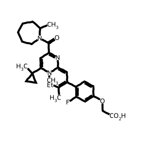 CC/C(C)=C(\C=C1\N=C(C(=O)N2CCCCCC2C)C=C(C2(C)CC2)N1C)c1ccc(OCC(=O)O)cc1F